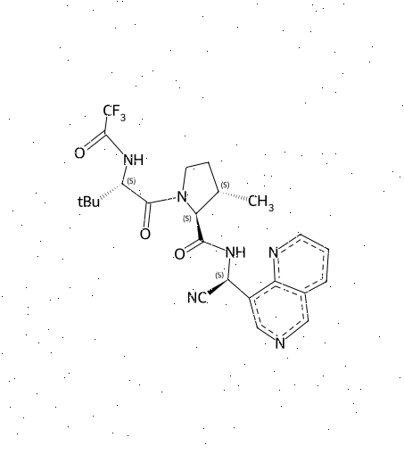 C[C@H]1CCN(C(=O)[C@@H](NC(=O)C(F)(F)F)C(C)(C)C)[C@@H]1C(=O)N[C@H](C#N)c1cncc2cccnc12